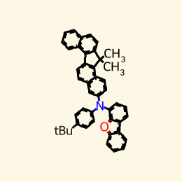 CC(C)(C)c1ccc(N(c2ccc3c4c(ccc3c2)-c2c(ccc3ccccc23)C4(C)C)c2cccc3c2oc2ccccc23)cc1